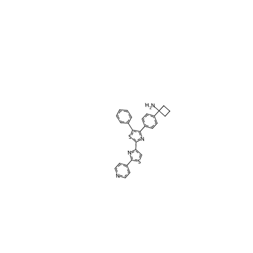 NC1(c2ccc(-c3nc(-c4csc(-c5ccncc5)n4)sc3-c3ccccc3)cc2)CCC1